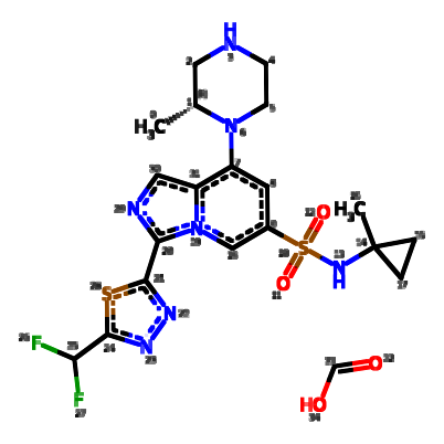 C[C@@H]1CNCCN1c1cc(S(=O)(=O)NC2(C)CC2)cn2c(-c3nnc(C(F)F)s3)ncc12.O=CO